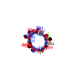 CCCC[C@H]1C(=O)N2C[C@H](O)C[C@@H]2C(=O)N[C@@H](CC(=O)O)C(=O)N[C@@H](C(C)C)C(=O)N(C)C(Cc2ccccc2)C(=O)N[C@@H](Cc2ccc(O)cc2)C(=O)N2C[C@H](O)C[C@H]2C(=O)N[C@@H](Cc2c[nH]c3ccccc23)C(=O)N[C@@H](Cc2ccc(O)cc2)C(=O)N[C@@H](CC(=O)O)C(=O)N[C@H](C(=O)NCC(N)=O)CSCC(=O)N[C@@H](Cc2cc(F)c(F)c(F)c2)C(=O)N(C)[C@@H](CCc2ccccc2)C(=O)N1C